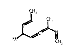 C=NC(C)=C=CC(C=CC)CC